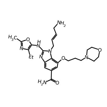 CCc1nc(C)oc1Nc1nc2cc(C(N)=O)cc(OCCCN3CCOCC3)c2n1C/C=C/CN